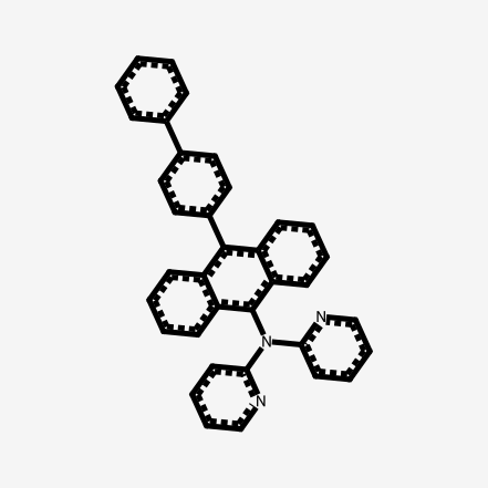 c1ccc(-c2ccc(-c3c4ccccc4c(N(c4ccccn4)c4ccccn4)c4ccccc34)cc2)cc1